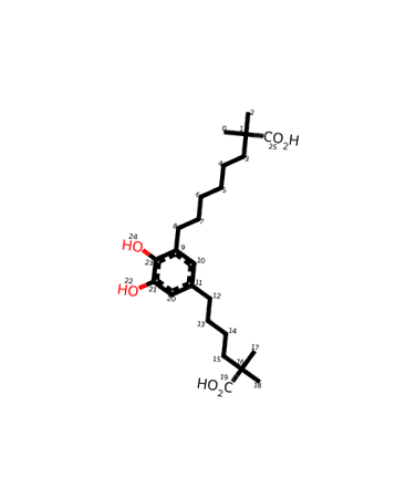 CC(C)(CCCCCCc1cc(CCCCC(C)(C)C(=O)O)cc(O)c1O)C(=O)O